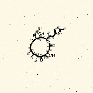 C/C(=C\c1csc(C)n1)C1C[C@@H](O)[C@H](N=[N+]=[N-])CCC[C@H](C)[C@H](C)[C@@H](C)C(=O)C(C)(C)[C@@H](O)CC(=O)O1